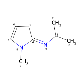 CC(C)/N=C1\CC=CN1C